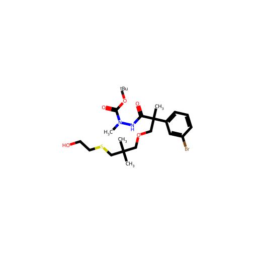 CN(NC(=O)C(C)(COCC(C)(C)CSCCO)c1cccc(Br)c1)C(=O)OC(C)(C)C